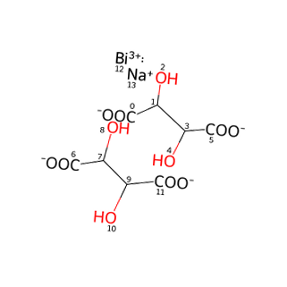 O=C([O-])C(O)C(O)C(=O)[O-].O=C([O-])C(O)C(O)C(=O)[O-].[Bi+3].[Na+]